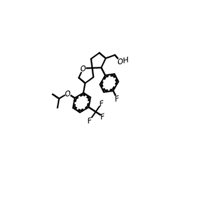 CC(C)Oc1ccc(C(F)(F)F)cc1C1COC2(CCC(CO)C2c2ccc(F)cc2)C1